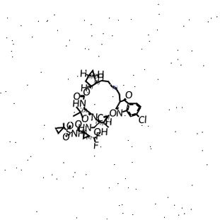 C[C@@H]1[C@@H]2CN(C(=O)[C@H](C(C)(C)C)NC(=O)O[C@@H]3C[C@@H]4C[C@@H]4[C@H]3CC/C=C/CC3C(=O)c4ccc(Cl)cc4N=C3O2)[C@@H]1C(O)N[C@]1(C(=O)NS(=O)(=O)C2(C)CC2)C[C@H]1C(F)F